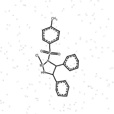 Cc1ccc([S@SP3](=O)(=O)[N]2C(c3ccccc3)C(c3ccccc3)[NH][Ru@SP3]2[Cl])cc1